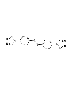 c1cc(-n2cnnn2)ccc1SSc1ccc(-n2cnnn2)cc1